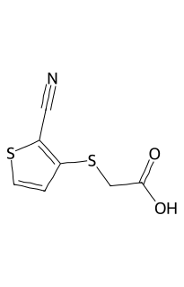 N#Cc1sccc1SCC(=O)O